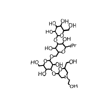 CC(C)C1OC(COC2OC(CO)C(O)C(OC3CN(CCO)CC(CO)O3)C2O)C(O)C(OC2OC(CO)C(O)C(O)C2O)C1O